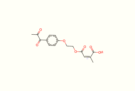 CC(=O)C(=O)c1ccc(OCCOC(=O)/C=C(/C)C(=O)O)cc1